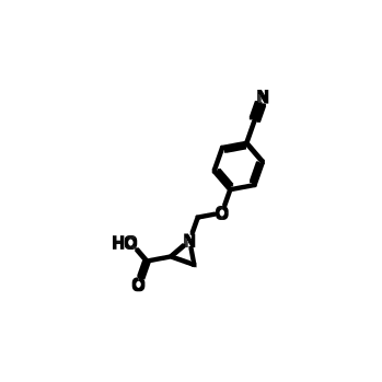 N#Cc1ccc(OCN2CC2C(=O)O)cc1